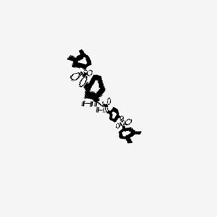 Cc1ccc(S(=O)(=O)Oc2ccc(NC(=O)Nc3cccc(OS(=O)(=O)c4ccc(C)c(C)c4)c3)cc2)cc1C